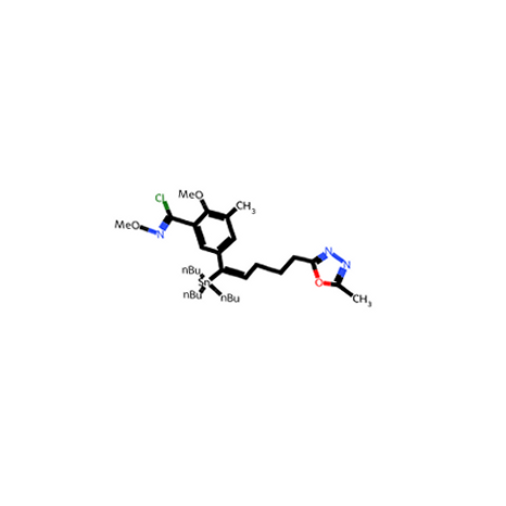 CCC[CH2][Sn]([CH2]CCC)([CH2]CCC)/[C](=C/CCCc1nnc(C)o1)c1cc(C)c(OC)c(/C(Cl)=N/OC)c1